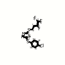 FC(F)=C(F)CCSc1nnc(Sc2ccc(Cl)cc2)s1